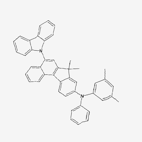 Cc1cc(C)cc(N(c2ccccc2)c2ccc3c(c2)C(C)(C)c2cc(-n4c5ccccc5c5ccccc54)c4ccccc4c2-3)c1